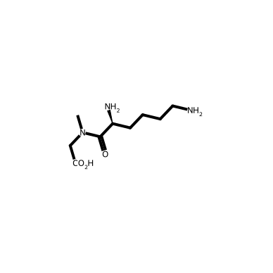 CN(CC(=O)O)C(=O)[C@@H](N)CCCCN